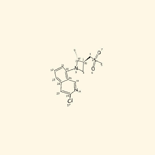 C[C@@H]1[C@@H](CS(C)(=O)=O)CN1c1cccc2cc(Cl)ncc12